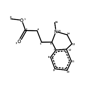 COC(=O)CCC1c2ccccc2CCN1C